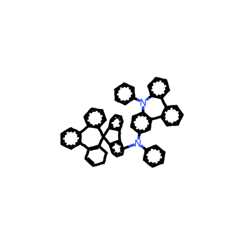 C1=CC2=C(CC1)C1(c3ccccc3-c3ccccc32)c2ccccc2-c2c(N(c3ccccc3)c3ccc4c(c3)-c3ccccc3-c3ccccc3N4c3ccccc3)cccc21